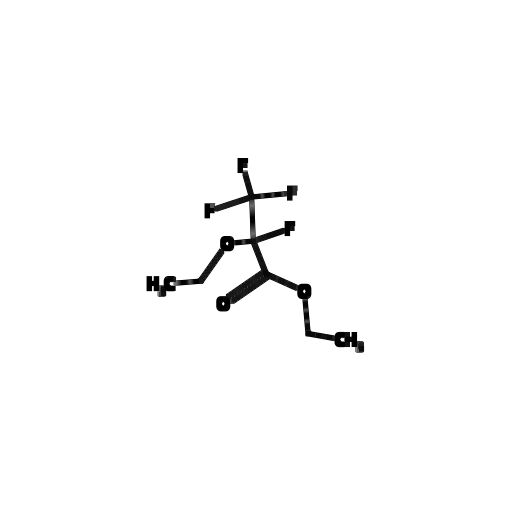 CCOC(=O)C(F)(OCC)C(F)(F)F